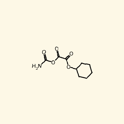 NC(=O)OC(=O)C(=O)OC1CCCCC1